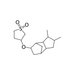 CC1CC2C3CC(OC4CCS(=O)(=O)C4)C(C3)C2C1C